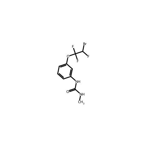 CNC(=O)Nc1cccc(OC(F)(F)C(F)Br)c1